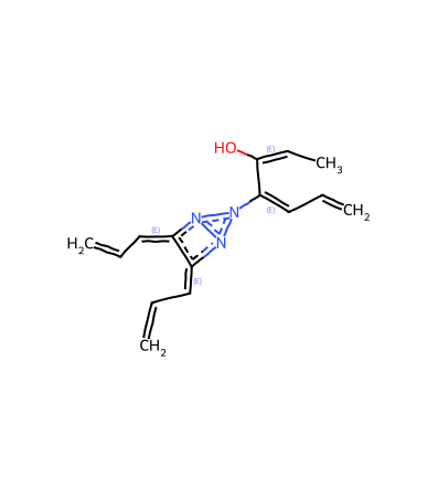 C=C/C=C(\C(O)=C/C)n1n2c(=C/C=C)/c(=C\C=C)n12